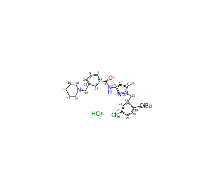 Cc1cc(NC(=O)c2cccc(CN3CCCCC3)c2)nn1Cc1cc(Cl)ccc1OCC(C)C.Cl